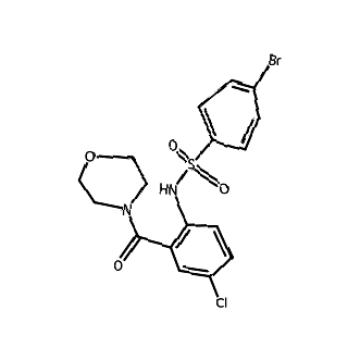 O=C(c1cc(Cl)ccc1NS(=O)(=O)c1ccc(Br)cc1)N1CCOCC1